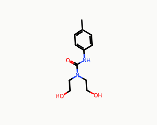 Cc1ccc(NC(=O)N(CCO)CCO)cc1